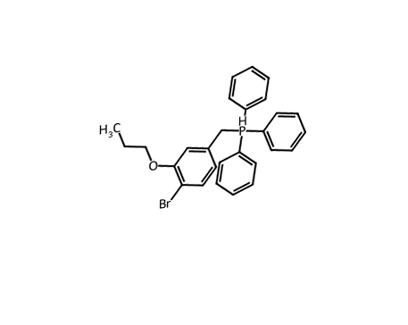 CCCOc1cc(C[PH](c2ccccc2)(c2ccccc2)c2ccccc2)ccc1Br